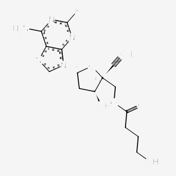 C#C[C@]1(COC(=O)CCCC)O[C@@H](n2cnc3c(N)nc(F)nc32)C[C@@H]1O